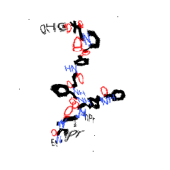 CCCN(C(=O)[C@H](Cc1ccc(CNC(=O)c2ccccc2)cc1)NC(=O)[C@@H](NC(=O)CCC(=O)Nc1cccc(COC(=O)[C@@H]2CCCCN2C(=O)C(=O)C(C)(C)COC=O)c1)c1ccccc1)[C@H](C)C(=O)N(C)[C@@H](CC(C)C)C(=O)N(C)CC